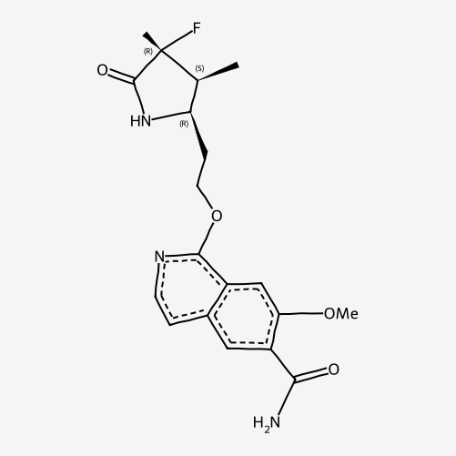 COc1cc2c(OCC[C@H]3NC(=O)[C@](C)(F)[C@H]3C)nccc2cc1C(N)=O